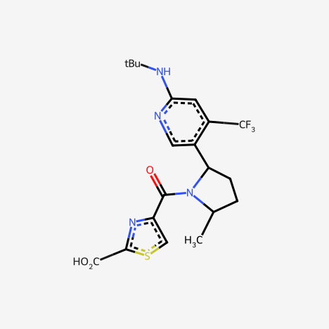 CC1CCC(c2cnc(NC(C)(C)C)cc2C(F)(F)F)N1C(=O)c1csc(C(=O)O)n1